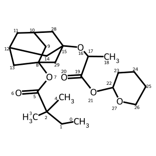 CCC(C)(C)C(=O)OC12CC3CC(C1)CC(OC(C)C(=O)OC1CCCCO1)(C3)C2